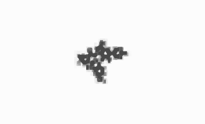 CC(=O)c1cn(CC(=O)N2C3C[C@]3(C)C[C@H]2C(=O)Nc2nc(C(F)(F)F)ccc2C)c2c(C)c(F)c(-c3cnc(C)nc3)cc12